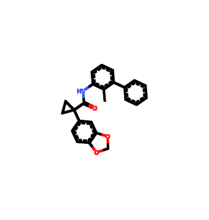 Cc1c(NC(=O)C2(c3ccc4c(c3)OCO4)CC2)cccc1-c1ccccc1